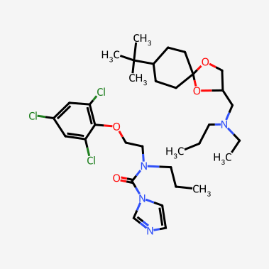 CCCN(CC)CC1COC2(CCC(C(C)(C)C)CC2)O1.CCCN(CCOc1c(Cl)cc(Cl)cc1Cl)C(=O)n1ccnc1